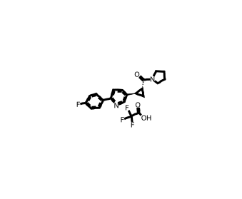 O=C(O)C(F)(F)F.O=C([C@@H]1C[C@H]1c1ccc(-c2ccc(F)cc2)nc1)N1CCCC1